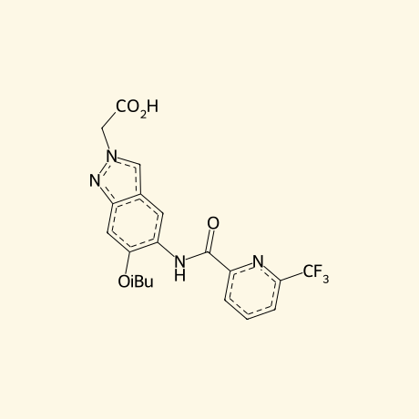 CC(C)COc1cc2nn(CC(=O)O)cc2cc1NC(=O)c1cccc(C(F)(F)F)n1